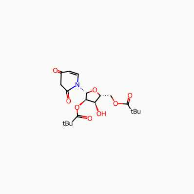 CC(C)(C)C(=O)OC[C@H]1O[C@@H](N2C=CC(=O)CC2=O)[C@H](OC(=O)C(C)(C)C)[C@@H]1O